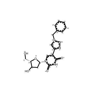 O=c1[nH]c(=O)n([C@@H]2CC(O)[C@H](CO)O2)cc1-c1cn(Cc2ccccc2)nn1